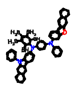 Bc1c(B)c(B)c(N(c2ccc(N(c3ccccc3)c3ccc4c(c3)oc3cc5ccccc5cc34)cc2)c2ccc3c4cc5ccccc5cc4n(-c4ccccc4)c3c2)c(B)c1B